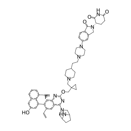 C#Cc1cccc2cc(O)cc(-c3c(C=C)cc4c(N5CC6CCC(C5)N6)nc(OCC5(CN6CCC(CCN7CCN(c8ccc9c(c8)CN([C@H]8CCC(=O)NC8=O)C9=O)CC7)CC6)CC5)nc4c3F)c12